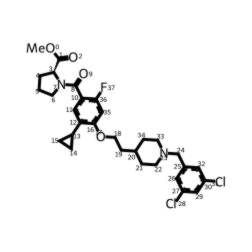 COC(=O)[C@@H]1CCCN1C(=O)c1cc(C2CC2)c(OCCC2CCN(Cc3cc(Cl)cc(Cl)c3)CC2)cc1F